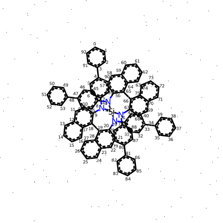 c1ccc(-c2ccc(N3c4ccc5ccccc5c4-c4c(ccc5ccccc45)N(c4ccc(-c5ccccc5)cc4)[Si]34N(c3ccc(-c5ccccc5)cc3)c3ccc5ccccc5c3-c3c(ccc5ccccc35)N4c3ccc(-c4ccccc4)cc3)cc2)cc1